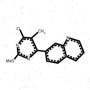 CSc1nc(Cl)c(C)c(-c2ccc3cccnc3c2)n1